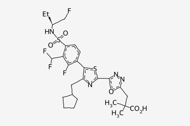 CC[C@@H](CF)NS(=O)(=O)c1ccc(-c2sc(-c3nnc(CC(C)(C)C(=O)O)o3)nc2CC2CCCC2)c(F)c1C(F)F